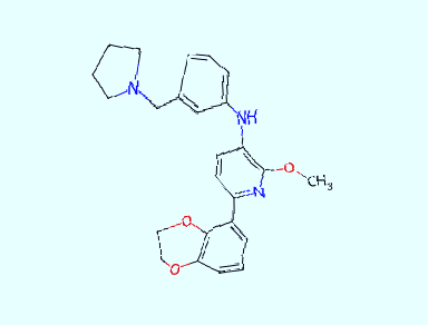 COc1nc(-c2cccc3c2OCCO3)ccc1Nc1cccc(CN2CCCC2)c1